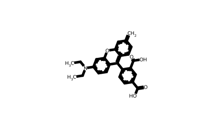 C=c1ccc2c(c1)Oc1cc(N(CC)CC)ccc1C=2c1ccc(C(=O)O)cc1C(=O)O